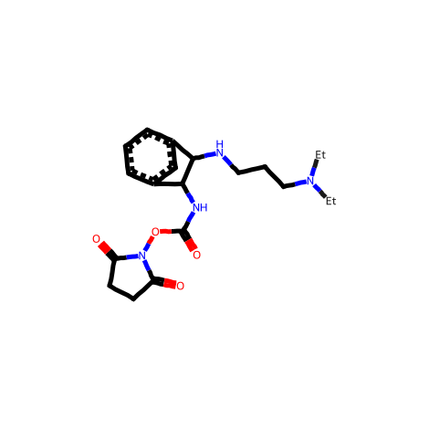 CCN(CC)CCCNC1c2cccc(c2)C1NC(=O)ON1C(=O)CCC1=O